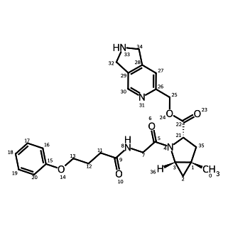 C[C@@]12C[C@@H]1N(C(=O)CNC(=O)CCCOc1ccccc1)[C@H](C(=O)OCc1cc3c(cn1)CNC3)C2